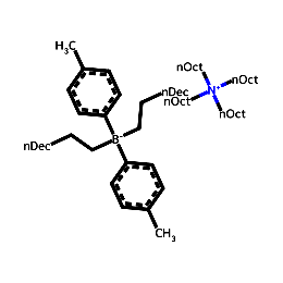 CCCCCCCCCCCC[B-](CCCCCCCCCCCC)(c1ccc(C)cc1)c1ccc(C)cc1.CCCCCCCC[N+](CCCCCCCC)(CCCCCCCC)CCCCCCCC